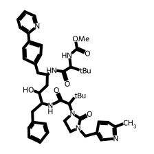 COC(=O)NC(C(=O)NC(Cc1ccc(-c2ccccn2)cc1)CC(O)C(Cc1ccccc1)NC(=O)C(N1CCN(Cc2ccc(C)nc2)C1=O)C(C)(C)C)C(C)(C)C